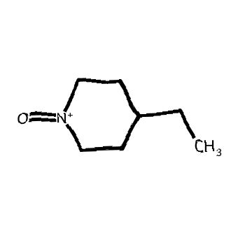 CCC1CC[N+](=O)CC1